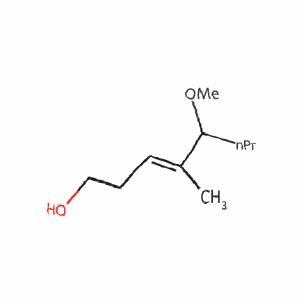 CCCC(OC)/C(C)=C/CCO